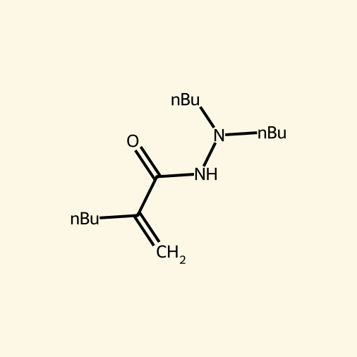 C=C(CCCC)C(=O)NN(CCCC)CCCC